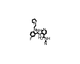 N#CNC(=O)c1ccncc1NC1NN(CCN2CCCC2)c2ccc(F)cc21